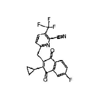 N#Cc1nc(CC2=C(C3CC3)C(=O)c3cc(F)ccc3C2=O)ccc1C(F)(F)F